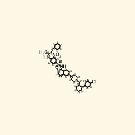 CC(CSc1ccccc1)Nc1ccc(S(=O)(=O)Nc2ncnc3cc(N4CCN(Cc5ccccc5-c5ccc(Cl)cc5)CC4)ccc23)cc1[N+](=O)[O-]